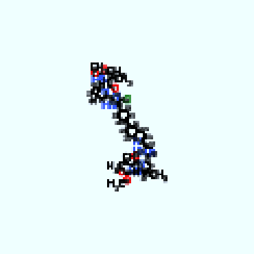 COC(=O)N[C@H](C(=O)N1[C@@H]2CC[C@@H]2C[C@H]1c1nc(Cl)c(-c2ccc(-c3ccc4nc(-c5cnc([C@@H]6C[C@]7(C)C[C@H]7N6C(=O)[C@@H](NC(=O)OC)C(C)C)[nH]5)ccc4c3)cc2)[nH]1)C(C)C